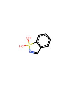 OS1(O)N=[C]c2ccccc21